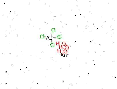 O.O.O.[Au+].[Cl][Au-]([Cl])([Cl])[Cl]